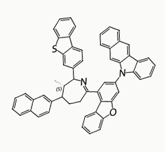 C[C@H]1C(c2ccc3ccccc3c2)CCC(c2cc(-n3c4ccccc4c4cc5ccccc5cc43)cc3oc4ccccc4c23)=NC1c1ccc2c(c1)sc1ccccc12